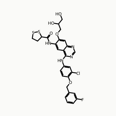 O=C(Nc1cc2c(Nc3ccc(OCc4cccc(F)c4)c(Cl)c3)ncnc2cc1OCC(O)CO)C1CCSS1